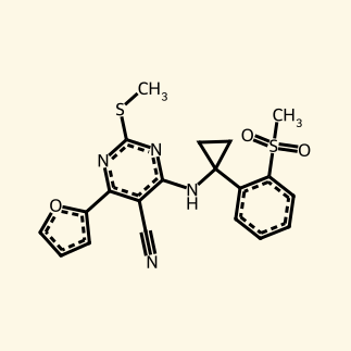 CSc1nc(NC2(c3ccccc3S(C)(=O)=O)CC2)c(C#N)c(-c2ccco2)n1